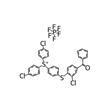 F[P-](F)(F)(F)(F)F.O=C(c1ccccc1)c1ccc(Sc2ccc([S+](c3ccc(Cl)cc3)c3ccc(Cl)cc3)cc2)c(Cl)c1